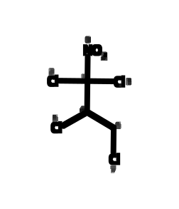 O=[N+]([O-])C(Cl)(Cl)C(Cl)CCl